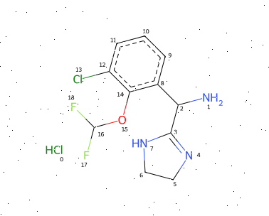 Cl.NC(C1=NCCN1)c1cccc(Cl)c1OC(F)F